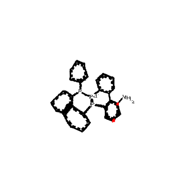 Nc1ccccc1-c1cccc[c]1[Pd-]([P](c1ccccc1)c1ccccc1)[P](c1ccccc1)c1ccccc1